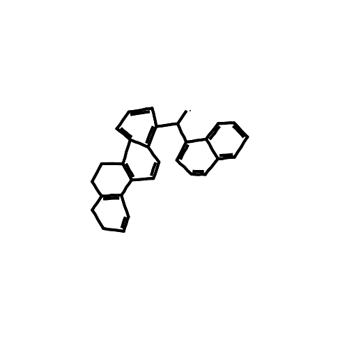 [CH2]C(c1cccc2ccccc12)c1cccc2c3c(ccc12)C1=C(CCC=C1)CC3